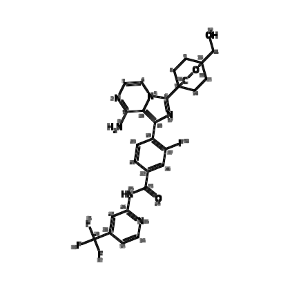 Nc1nccn2c(C34CCC(CO)(CC3)OC4)nc(-c3ccc(C(=O)Nc4cc(C(F)(F)F)ccn4)cc3F)c12